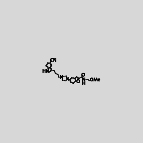 COCCNC(=O)c1cc2cc(N3CCN(CCCCc4c[nH]c5ccc(C#N)cc45)CC3)ccc2o1